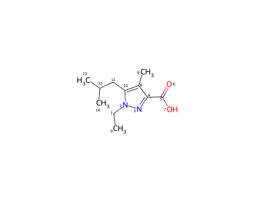 CCn1nc(C(=O)O)c(C)c1CC(C)C